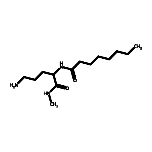 CCCCCCCC(=O)NC(CCCN)C(=O)NC